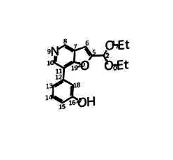 CCOC(OCC)c1cc2cncc(-c3cccc(O)c3)c2o1